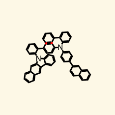 c1ccc(-c2ccccc2N(c2ccc(-c3ccc4ccccc4c3)cc2)c2ccc(-c3ccccc3-n3c4ccccc4c4cc5ccccc5cc43)cc2)cc1